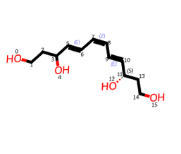 OCCC(O)/C=C/C=C\C=C\[C@@H](O)CCO